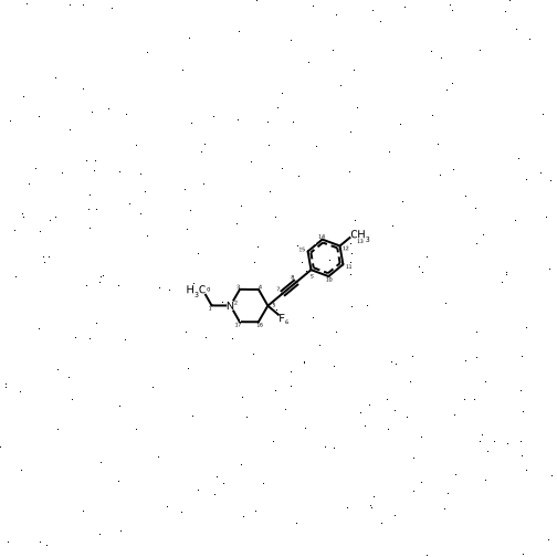 CCN1CCC(F)(C#Cc2ccc(C)cc2)CC1